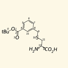 CC(C)(C)OC(=O)c1cccc(CSC[C@H](N)C(=O)O)c1